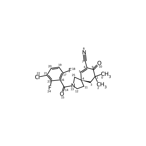 CC1(C)C[C@@]2(C=C(C#N)C1=O)CCN(C(=O)c1c(F)ccc(Cl)c1F)C2